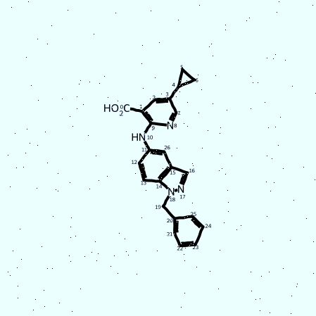 O=C(O)c1cc(C2CC2)cnc1Nc1ccc2c(cnn2Cc2ccccc2)c1